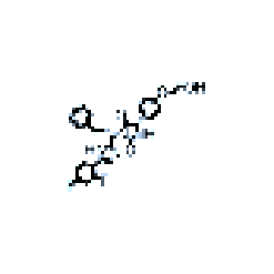 O=C1N[C@H](c2ccc(OCCO)cc2)C(=O)N1[C@@H](CCc1ccccc1)c1ncc(-c2ccc(I)cc2F)[nH]1